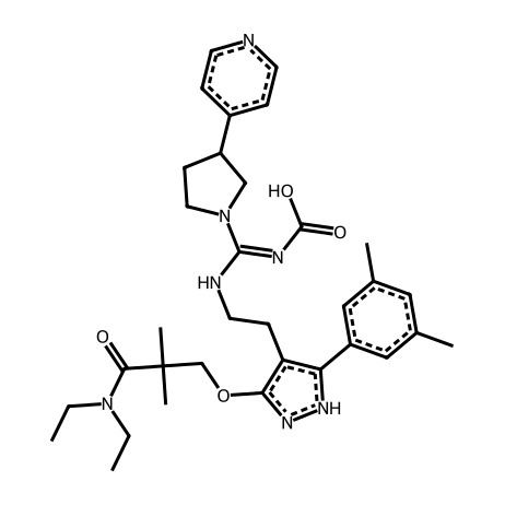 CCN(CC)C(=O)C(C)(C)COc1n[nH]c(-c2cc(C)cc(C)c2)c1CCN/C(=N/C(=O)O)N1CCC(c2ccncc2)C1